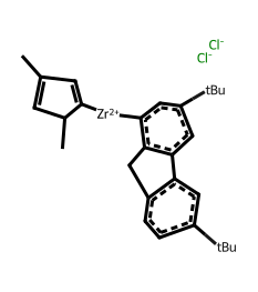 CC1=CC(C)[C]([Zr+2][c]2cc(C(C)(C)C)cc3c2Cc2ccc(C(C)(C)C)cc2-3)=C1.[Cl-].[Cl-]